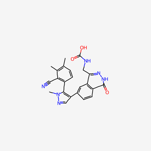 Cc1ccc(-c2c(-c3ccc4c(=O)[nH]nc(CNC(=O)O)c4c3)cnn2C)c(C#N)c1C